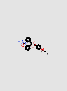 COc1ccc(C(=O)OC2Cc3ccccc3N(C(N)=O)c3ccccc32)cc1